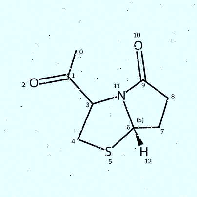 CC(=O)C1CS[C@H]2CCC(=O)N12